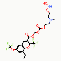 CCc1cc(OC(F)(F)F)cc2c1OC(C(F)(F)F)C(C(=O)OCOC(=O)OCCN(C)CCONO)=C2